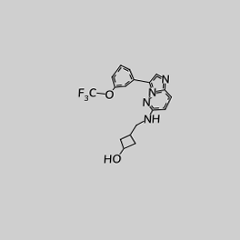 OC1CC(CNc2ccc3ncc(-c4cccc(OC(F)(F)F)c4)n3n2)C1